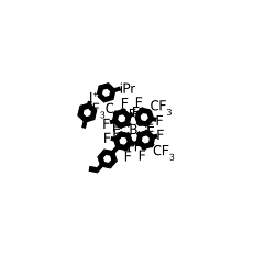 C=Cc1ccc(-c2c(F)c(F)c([B-](c3c(F)c(F)c(C(F)(F)F)c(F)c3F)(c3c(F)c(F)c(C(F)(F)F)c(F)c3F)c3c(F)c(F)c(C(F)(F)F)c(F)c3F)c(F)c2F)cc1.Cc1ccc([I+]c2ccc(C(C)C)cc2)cc1